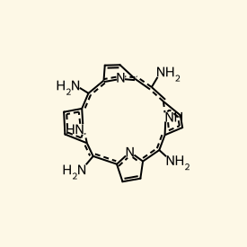 Nc1c2nc(c(N)c3ccc([nH]3)c(N)c3nc(c(N)c4ccc1[nH]4)C=C3)C=C2